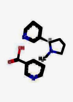 CN1CCC[C@H]1c1cccnc1.O=C(O)c1cccnc1